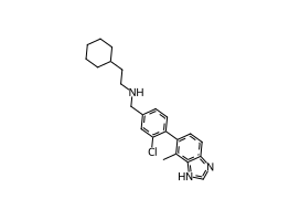 Cc1c(-c2ccc(CNCCC3CCCCC3)cc2Cl)ccc2nc[nH]c12